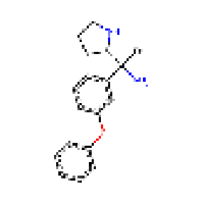 CCC(N)(c1cccc(Oc2ccccc2)c1)[C@@H]1CCCN1